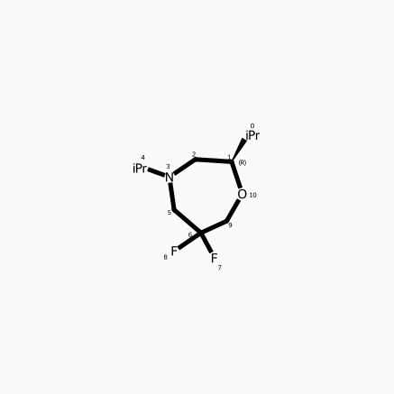 CC(C)[C@@H]1CN(C(C)C)CC(F)(F)CO1